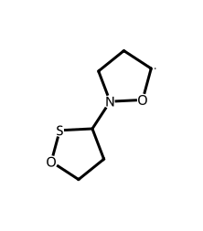 [CH]1CCN(C2CCOS2)O1